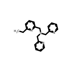 CCc1cccc(CN(Cc2ccccn2)Cc2ccccn2)n1